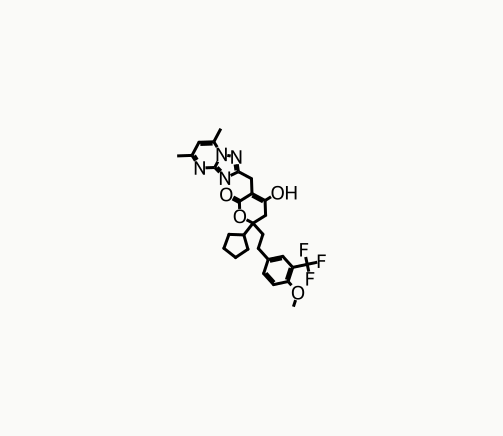 COc1ccc(CCC2(C3CCCC3)CC(O)=C(Cc3nc4nc(C)cc(C)n4n3)C(=O)O2)cc1C(F)(F)F